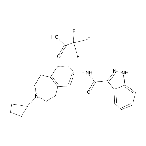 O=C(Nc1ccc2c(c1)CCN(C1CCC1)CC2)c1n[nH]c2ccccc12.O=C(O)C(F)(F)F